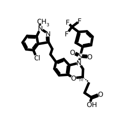 Cn1nc(CCc2ccc3c(c2)N(S(=O)(=O)c2cccc(C(F)(F)F)c2)C[C@H](CCC(=O)O)O3)c2c(Cl)cccc21